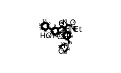 CCNC(=O)c1noc(C2C=C(c3ccccc3)C(O)=CC2(O)C(C)C)c1-c1ccc(CN2CCOCC2)cc1